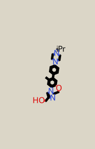 Cc1cc2c(cc1-c1ccc(N3CCN(C(C)C)CC3)cc1)OCc1nc(CO)cn1-2